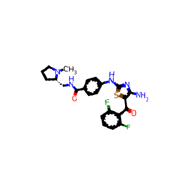 CN1CCC[C@H]1CNC(=O)c1ccc(Nc2nc(N)c(C(=O)c3c(F)cccc3F)s2)cc1